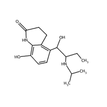 CCC(NC(C)C)C(O)c1ccc(O)c2c1CCC(=O)N2